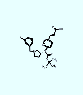 CC(C)(C)OC(=O)N(c1ccc(C=CC(=O)O)cn1)[C@@H]1CCN(Cc2cccc(F)c2)C1